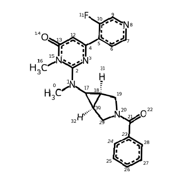 CN(c1nc(-c2ccncc2F)cc(=O)n1C)C1[C@H]2CN(C(=O)c3ccccc3)C[C@@H]12